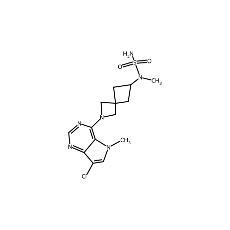 CN(C1CC2(C1)CN(c1ncnc3c(Cl)cn(C)c13)C2)S(N)(=O)=O